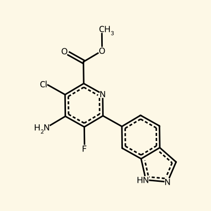 COC(=O)c1nc(-c2ccc3cn[nH]c3c2)c(F)c(N)c1Cl